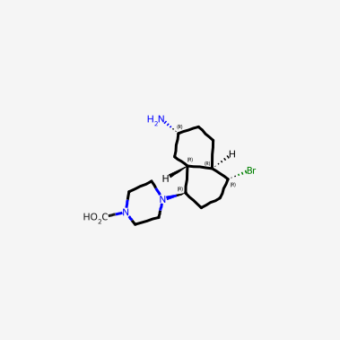 N[C@@H]1CC[C@@H]2[C@@H](C1)[C@H](N1CCN(C(=O)O)CC1)CC[C@H]2Br